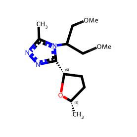 COCC(COC)n1c(C)nnc1[C@@H]1CC[C@H](C)O1